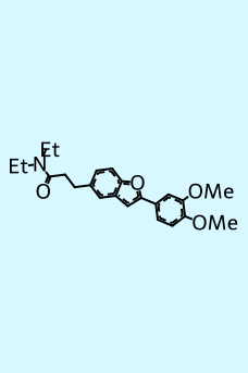 CCN(CC)C(=O)CCc1ccc2oc(-c3ccc(OC)c(OC)c3)cc2c1